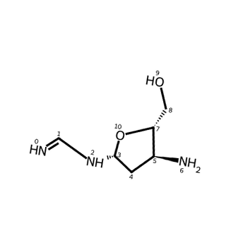 N=CN[C@H]1C[C@H](N)[C@@H](CO)O1